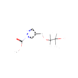 CC(C)(C)OC(=O)n1cc(BOC(C)(C)C(C)(C)O)cn1